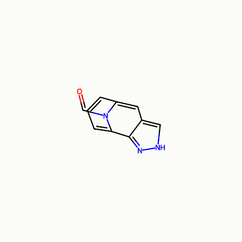 O=CN1C2=Cc3c[nH]nc3C1=CC=C2